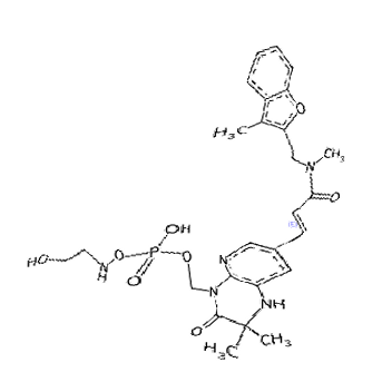 Cc1c(CN(C)C(=O)/C=C/c2cnc3c(c2)NC(C)(C)C(=O)N3COP(=O)(O)ONCCO)oc2ccccc12